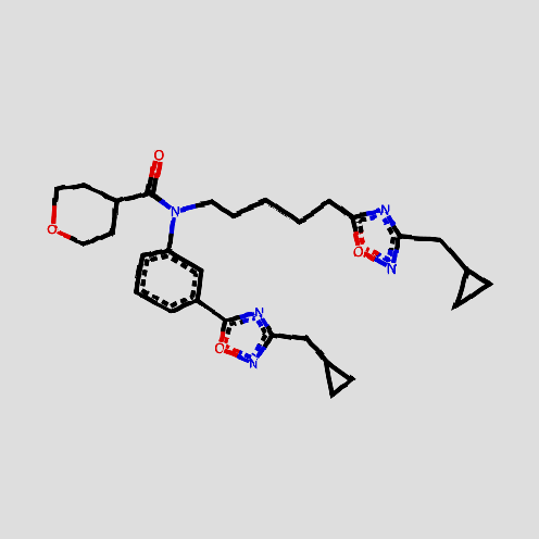 O=C(C1CCOCC1)N(CCCCCc1nc(CC2CC2)no1)c1cccc(-c2nc(CC3CC3)no2)c1